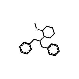 CO[C@H]1CCCC[C@H]1N(Cc1ccccc1)Cc1ccccc1